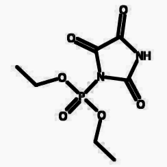 CCOP(=O)(OCC)N1C(=O)NC(=O)C1=O